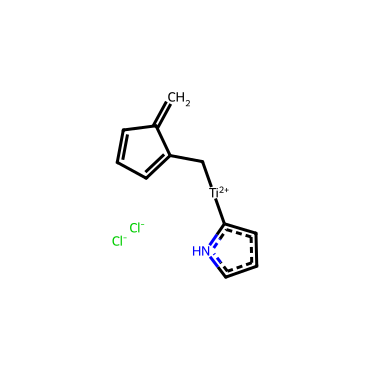 C=C1C=CC=C1[CH2][Ti+2][c]1ccc[nH]1.[Cl-].[Cl-]